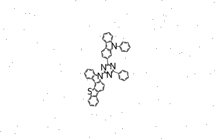 c1ccc(-c2nc(-c3ccc4c5ccccc5n(-c5ccccc5)c4c3)nc(-n3c4ccccc4c4c5sc6ccccc6c5ccc43)n2)cc1